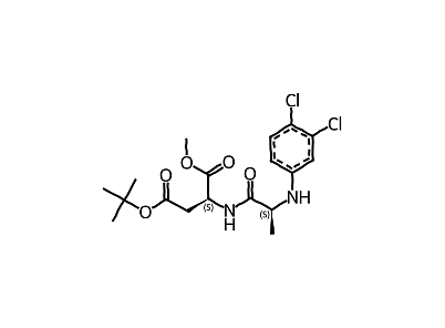 COC(=O)[C@H](CC(=O)OC(C)(C)C)NC(=O)[C@H](C)Nc1ccc(Cl)c(Cl)c1